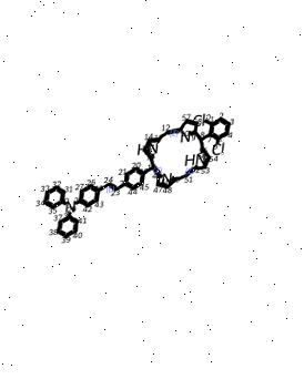 Clc1cccc(Cl)c1C1C2=N/C(=C\c3ccc([nH]3)/C(c3ccc(/C=C/c4ccc(N(c5ccccc5)c5ccccc5)cc4)cc3)=C3/C=CC(=N3)/C=C3/C=CC1N3)C=C2